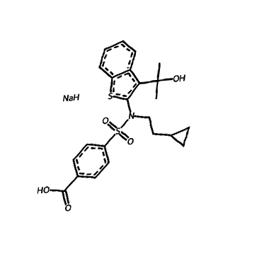 CC(C)(O)c1c(N(CCC2CC2)S(=O)(=O)c2ccc(C(=O)O)cc2)sc2ccccc12.[NaH]